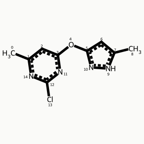 Cc1cc(Oc2cc(C)[nH]n2)nc(Cl)n1